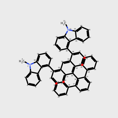 Cn1c2ccccc2c2c(-c3cccc4c(-c5c(-c6ccccc6)cccc5-c5ccccc5)c5cccc(-c6cccc7c6c6ccccc6n7C)c5cc34)cccc21